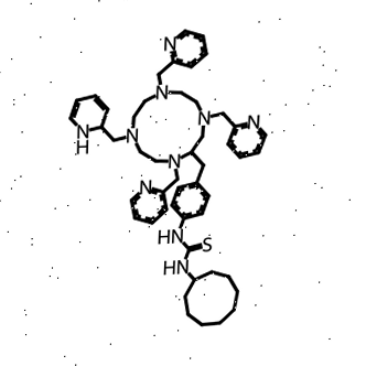 S=C(Nc1ccc(CC2CN(Cc3ccccn3)CCN(Cc3ccccn3)CCN(CC3C=CC=CN3)CCN2Cc2ccccn2)cc1)NC1CCCCCCCC1